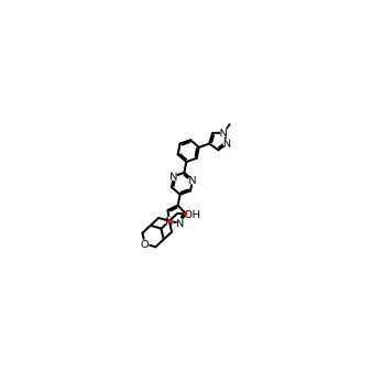 Cn1cc(-c2cccc(-c3ncc(-c4cnn(C5C6COCC5CC(CO)C6)c4)cn3)c2)cn1